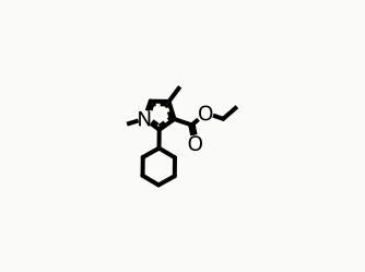 CCOC(=O)c1c(C)cn(C)c1C1CCCCC1